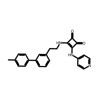 Cc1ccc(-c2cccc(CCNc3c(Nc4ccncc4)c(=O)c3=O)c2)cc1